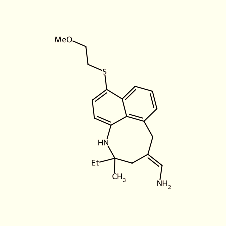 CCC1(C)C/C(=C\N)Cc2cccc3c(SCCOC)ccc(c23)N1